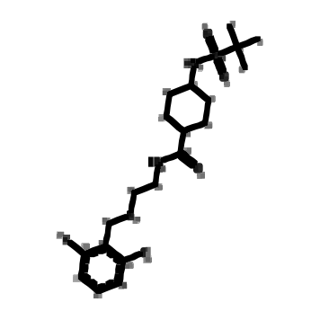 CC(C)(C)S(=O)(=O)NC1CCC(C(=O)NCCSCc2c(F)cccc2Cl)CC1